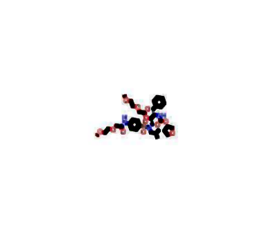 COCCOCC(=O)Nc1ccc(S(=O)(=O)N(CC(C)C)C[C@@H](OC(=O)COCCOC)[C@H](Cc2ccccc2)NC(=O)O[C@H]2CCOC2)cc1